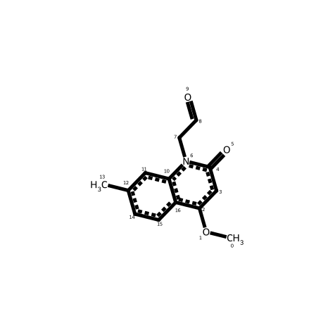 COc1cc(=O)n(CC=O)c2cc(C)ccc12